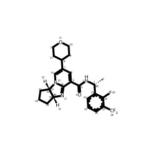 C[C@@H](NC(=O)C1=CC(C2CCOCC2)=CN2C1=N[C@@H]1CCC[C@@H]12)c1cccc(C(F)(F)F)c1F